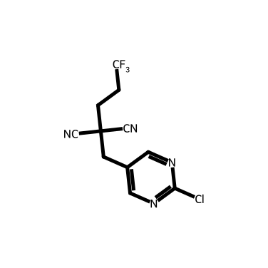 N#CC(C#N)(CCC(F)(F)F)Cc1cnc(Cl)nc1